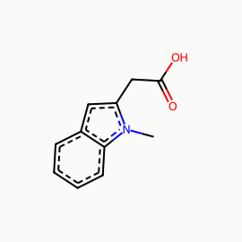 Cn1c(CC(=O)O)cc2ccccc21